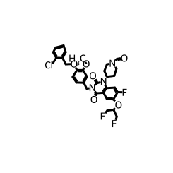 COc1cc(Cn2c(=O)c3cc(OC(CF)CF)c(F)cc3n(C3CCN(C=O)CC3)c2=O)ccc1OCc1ccccc1Cl